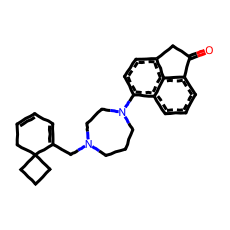 O=C1Cc2ccc(N3CCCN(CC4=CC=CCC45CCC5)CC3)c3cccc1c23